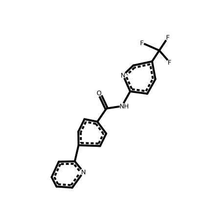 O=C(Nc1ccc(C(F)(F)F)cn1)c1ccc(-c2ccccn2)cc1